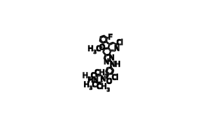 COc1cccc(F)c1C1=CC(Cl)=NC=C2C1=CCc1cnc(Nc3ccc(C(=O)N4CC(C)(C)NC(C)(C)C4)c(Cl)c3)nc12